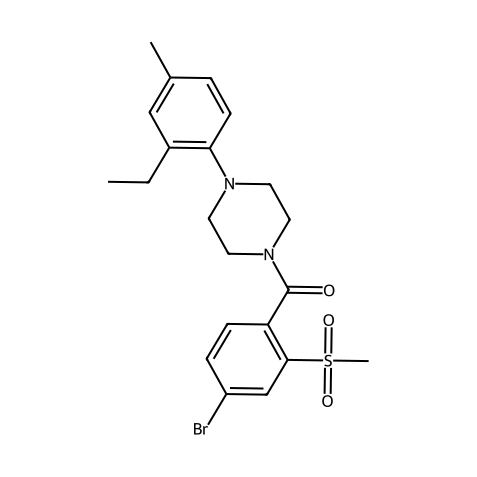 CCc1cc(C)ccc1N1CCN(C(=O)c2ccc(Br)cc2S(C)(=O)=O)CC1